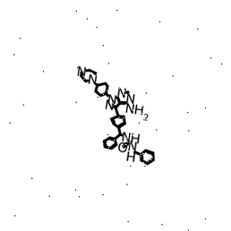 CN1CCN(C2CCC(n3nc(-c4ccc(C(NC(=O)NCc5ccccc5)c5ccccc5)cc4)c4c(N)ncnc43)CC2)CC1